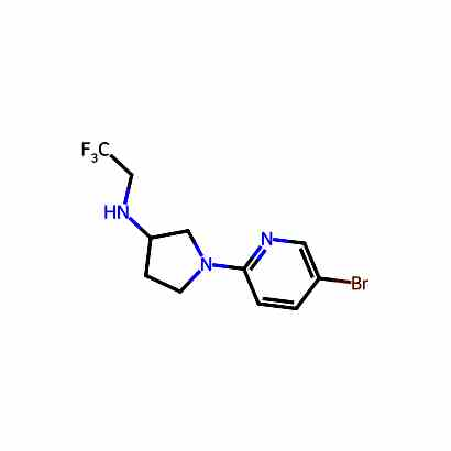 FC(F)(F)CNC1CCN(c2ccc(Br)cn2)C1